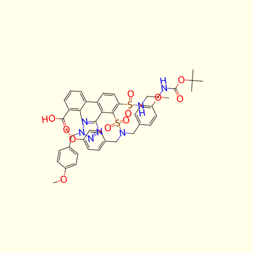 COc1ccc(CN(Cc2ccc(OC)cc2)S(=O)(=O)c2c(S(=O)(=O)NCCNC(=O)OC(C)(C)C)ccc(-c3cccc(C(=O)O)c3C)c2-c2nnn(Cc3ccc(OC)cc3)n2)cc1